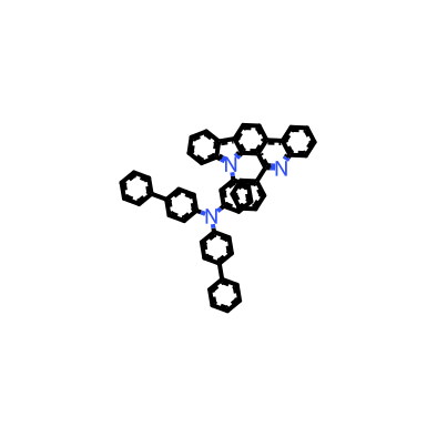 c1ccc(-c2ccc(N(c3ccc(-c4ccccc4)cc3)c3cccc(-n4c5ccccc5c5ccc6c7ccccc7nc(-c7ccccc7)c6c54)c3)cc2)cc1